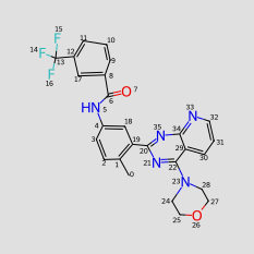 Cc1ccc(NC(=O)c2cccc(C(F)(F)F)c2)cc1-c1nc(N2CCOCC2)c2cccnc2n1